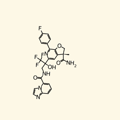 C[C@]1(C(N)=O)COc2c1cc(C(O)(CNC(=O)c1cccc3nccn13)C(F)(F)F)nc2-c1ccc(F)cc1